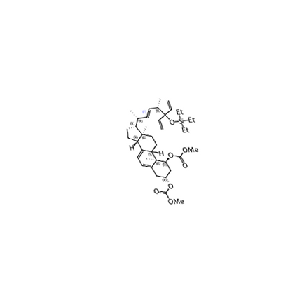 C=CC(C=C)(O[Si](CC)(CC)CC)[C@@H](C)/C=C/[C@@H](C)[C@H]1CC[C@H]2C3=CC=C4C[C@@H](OC(=O)OC)C[C@H](OC(=O)OC)[C@]4(C)[C@H]3CC[C@]12C